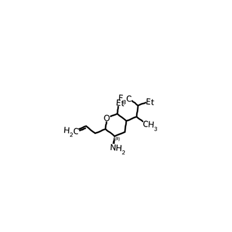 C=CCC1OC(CC)C(C(C)C(CC)C(F)(F)F)C[C@H]1N